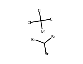 BrC(Br)Br.ClC(Cl)(Cl)Br